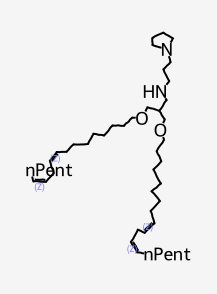 CCCCC/C=C\C/C=C\CCCCCCCCOCC(CNCCCN1CCCC1)COCCCCCCCC/C=C\C/C=C\CCCCC